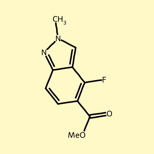 COC(=O)c1ccc2nn(C)cc2c1F